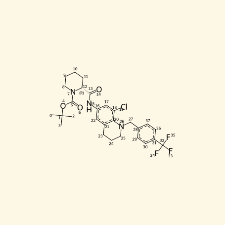 CC(C)(C)OC(=O)N1CCCC[C@@H]1C(=O)Nc1cc(Cl)c2c(c1)CCCN2Cc1ccc(C(F)(F)F)cc1